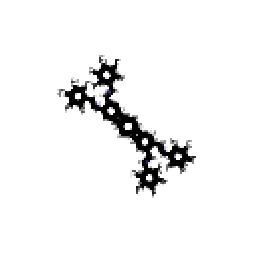 Fc1c(F)c(F)c(/C=C/c2cc3c(cc2/C=C/c2c(F)c(F)c(F)c(F)c2F)c2cc4c5cc(/C=C/c6c(F)c(F)c(F)c(F)c6F)c(/C=C/c6c(F)c(F)c(F)c(F)c6F)cc5c4cc32)c(F)c1F